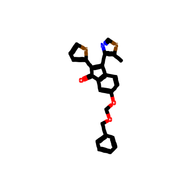 Cc1scnc1C1=C(c2cccs2)C(=O)c2cc(OCOCc3ccccc3)ccc21